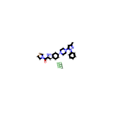 Cc1cc(N2CCN([C@H]3CC[C@H](C[C@H](N)C(=O)N4CCSC4)CC3)CC2)n(-c2ccccc2)n1.Cl.Cl.Cl